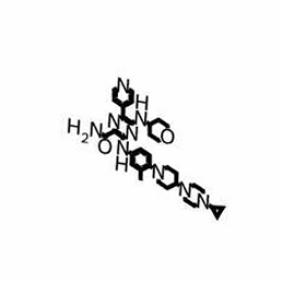 Cc1cc(Nc2nc(NC3CCOCC3)c(-c3ccncc3)nc2C(N)=O)ccc1N1CCC(N2CCN(C3CC3)CC2)CC1